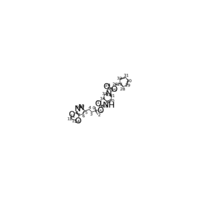 CC(C)(CCc1cc2c(nn1)OCCO2)OC(=O)NC1CCN(C(=O)OCc2ccccc2)CC1